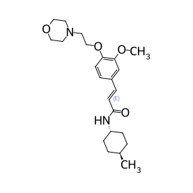 COc1cc(/C=C/C(=O)N[C@H]2CC[C@H](C)CC2)ccc1OCCN1CCOCC1